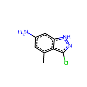 Cc1cc(N)cc2[nH]nc(Cl)c12